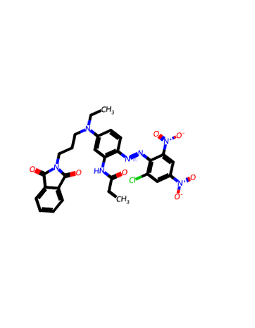 CCC(=O)Nc1cc(N(CC)CCCN2C(=O)c3ccccc3C2=O)ccc1/N=N/c1c(Cl)cc([N+](=O)[O-])cc1[N+](=O)[O-]